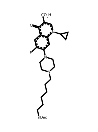 CCCCCCCCCCCCCCCCN1CCN(c2cc3c(cc2F)c(=O)c(C(=O)O)cn3C2CC2)CC1